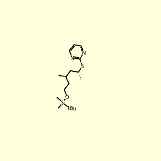 C[C@H](CCO[Si](C)(C)C(C)(C)C)C[C@@H](C)Sc1ncccn1